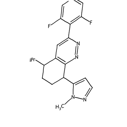 CC(C)C1CCC(c2ccnn2C)c2nnc(-c3c(F)cccc3F)cc21